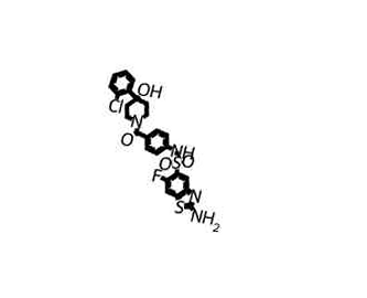 Nc1nc2cc(S(=O)(=O)Nc3ccc(C(=O)N4CCC(O)(c5ccccc5Cl)CC4)cc3)c(F)cc2s1